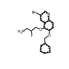 NCC(F)COc1c(OCc2ccccc2)ccc2ncc(Br)cc12